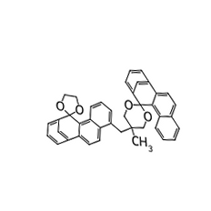 CC1(Cc2cccc3c4c(ccc23)-c2cccc(c2)C42OCCO2)COC2(OC1)c1cccc(c1)-c1ccc3ccccc3c12